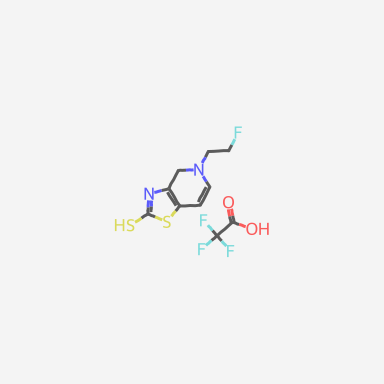 FCCN1C=Cc2sc(S)nc2C1.O=C(O)C(F)(F)F